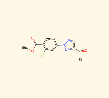 CCC(=O)c1cnn(-c2ccc(C(=O)OC(C)(C)C)c(F)c2)n1